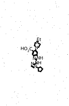 CCN1CCN(c2cc3[nH]c(Nc4nccn4C4CCCC4)nc3cc2C(=O)O)CC1